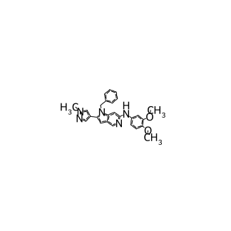 COc1ccc(Nc2cc3c(cn2)cc(-c2cnn(C)c2)n3Cc2ccccc2)cc1OC